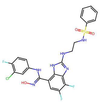 O=S(=O)(NCCNc1nc2c(F)c(F)cc(/C(=N/O)Nc3ccc(F)c(Cl)c3)c2[nH]1)c1ccccc1